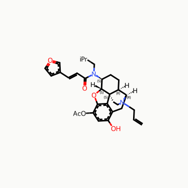 C=CCN1CC[C@]23c4c5c(O)cc(OC(C)=O)c4O[C@@H]2[C@@H](N(CC(C)C)C(=O)C=Cc2ccoc2)CC[C@H]3[C@H]1C5